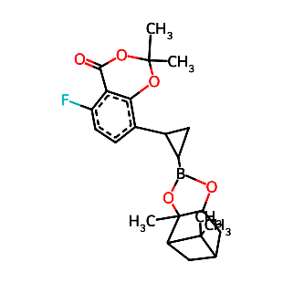 CC1(C)OC(=O)c2c(F)ccc(C3CC3B3OC4CC5CC(C5(C)C)C4(C)O3)c2O1